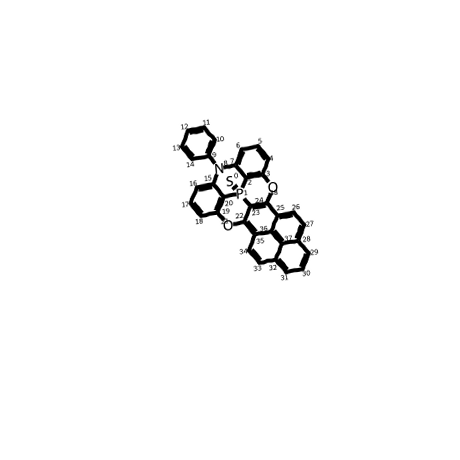 S=P12c3c4cccc3N(c3ccccc3)c3cccc(c31)Oc1c2c(c2ccc3cccc5ccc1c2c35)O4